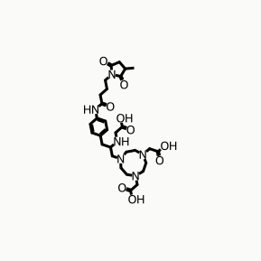 CC1CC(=O)N(CCCC(=O)Nc2ccc(CC(CN3CCN(CC(=O)O)CCN(CC(=O)O)CC3)NCC(=O)O)cc2)C1=O